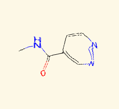 CNC(=O)c1ccnnc1